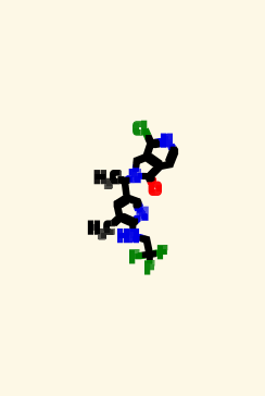 Cc1cc(C(C)N2Cc3c(ccnc3Cl)C2=O)cnc1NCC(F)(F)F